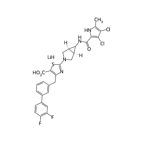 Cc1[nH]c(C(=O)NC2[C@H]3CN(c4nc(Cc5cccc(-c6ccc(F)c(F)c6)c5)c(C(=O)O)s4)C[C@@H]23)c(Cl)c1Cl.[LiH]